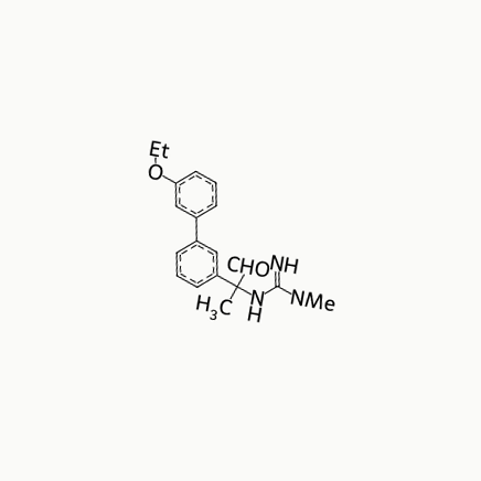 CCOc1cccc(-c2cccc(C(C)(C=O)NC(=N)NC)c2)c1